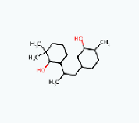 CC1CCC(CC(C)C2CCCC(C)(C)C2O)CC1O